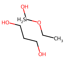 CCO[SiH2]O.OCCCO